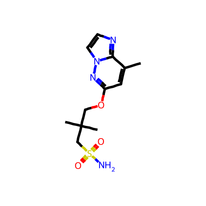 Cc1cc(OCC(C)(C)CS(N)(=O)=O)nn2ccnc12